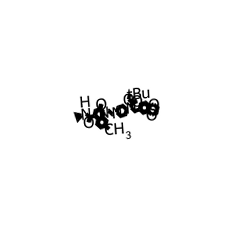 Cc1ccc2c(C(=O)NC3CC3)cc(=O)n(CCN3CCC(N(Cc4ccc5c(c4)OCCO5)C(=O)OC(C)(C)C)CC3)c2c1